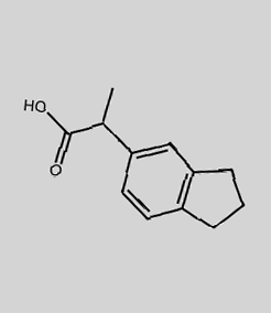 CC(C(=O)O)c1ccc2c(c1)CCC2